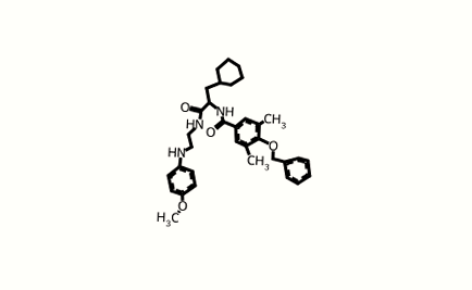 COc1ccc(NCCNC(=O)C(CC2CCCCC2)NC(=O)c2cc(C)c(OCc3ccccc3)c(C)c2)cc1